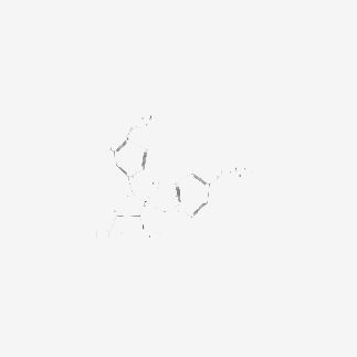 COc1ccc(CC(N)(Cc2ccc(OC)cc2)C(N)CC(C)C)cc1